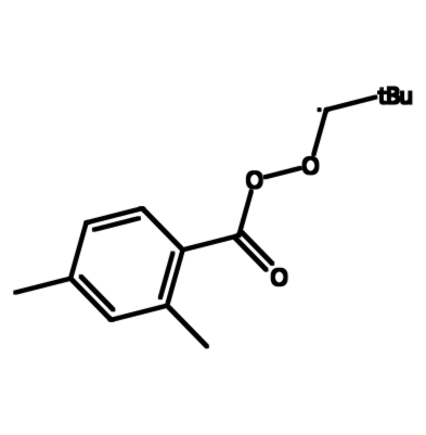 Cc1ccc(C(=O)OO[CH]C(C)(C)C)c(C)c1